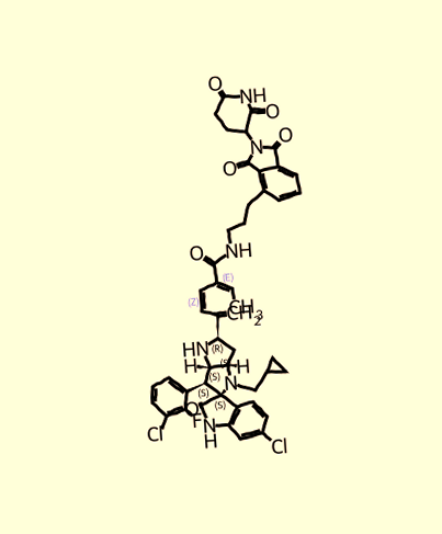 C=C(/C=C\C(=C/C)C(=O)NCCCc1cccc2c1C(=O)N(C1CCC(=O)NC1=O)C2=O)[C@H]1C[C@H]2[C@@H](N1)[C@H](c1cccc(Cl)c1F)[C@]1(C(=O)Nc3cc(Cl)ccc31)N2CC1CC1